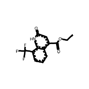 CCOC(=O)c1cc(=O)[nH]c2c(C(F)(F)F)cccc12